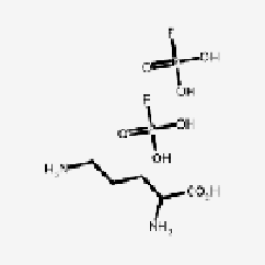 NCCCC(N)C(=O)O.O=P(O)(O)F.O=P(O)(O)F